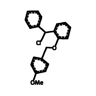 COc1ccc(COc2ccccc2C(Cl)c2ccccc2)cc1